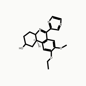 CCOc1cc2c(cc1OC)C(c1cnccn1)=NC1CCC(O)C[C@H]21